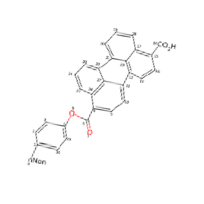 CCCCCCCCCc1ccc(OC(=O)c2ccc3c4ccc(C(=O)O)c5cccc(c6cccc2c63)c54)cc1